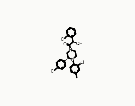 Cc1ccc(N2CCN(C(=O)[C@H](O)c3ccccc3Cl)C[C@H]2c2ccc(Cl)cc2)c(Cl)c1